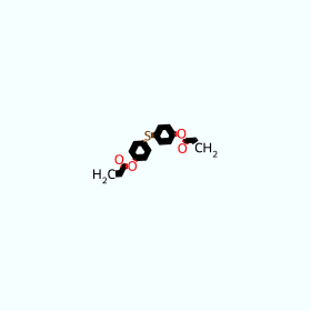 C=CC(=O)Oc1ccc(Sc2ccc(OC(=O)C=C)cc2)cc1